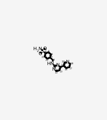 NS(=O)(=O)c1ccc(CNc2nccc(-c3cccnc3)n2)cc1